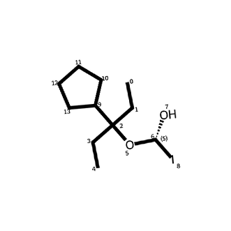 CCC(CC)(O[C@H](O)I)C1CCCC1